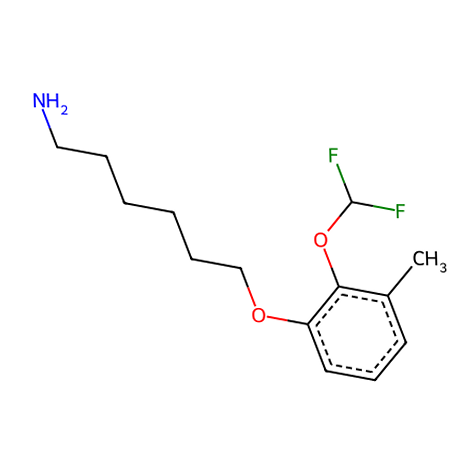 Cc1cccc(OCCCCCCN)c1OC(F)F